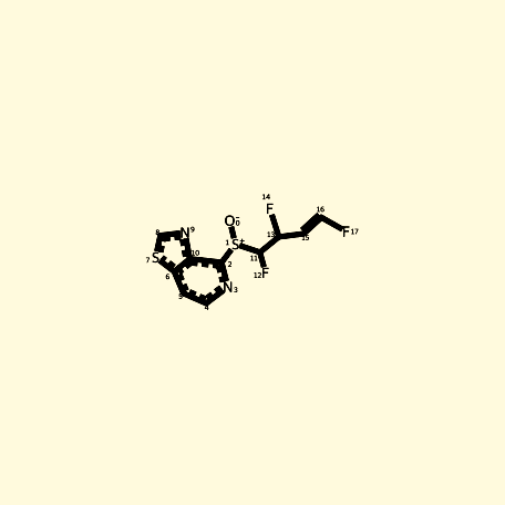 [O-][S+](c1nccc2scnc12)C(F)C(F)C=CF